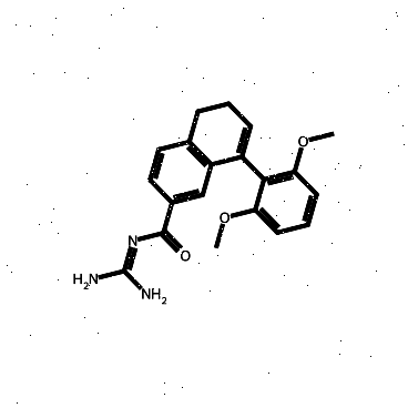 COc1cccc(OC)c1C1=CCCc2ccc(C(=O)N=C(N)N)cc21